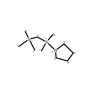 C[Si](C)(C)C[Si](C)(C)N1CCCC1